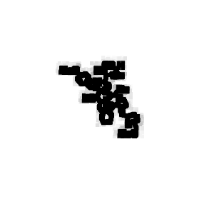 CC[C@H](C)[C@@H](C(=O)N[C@@H](Cc1ccccc1)[C@@H](O)CN(Cc1ccc(OC)cc1)NC(=O)[C@@H](NC(=O)O)C(C)(C)C)N1CCN(Cc2csc(COC)n2)C1=O